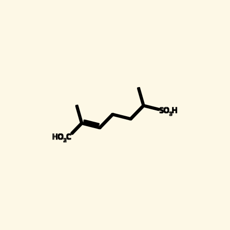 C/C(=C\CCC(C)S(=O)(=O)O)C(=O)O